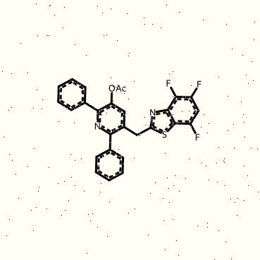 CC(=O)Oc1cc(Cc2nc3c(F)c(F)cc(F)c3s2)c(-c2ccccc2)nc1-c1ccccc1